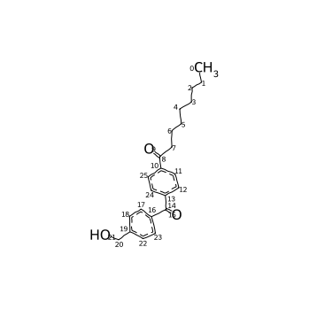 CCCCCCCCC(=O)c1ccc(C(=O)c2ccc(CO)cc2)cc1